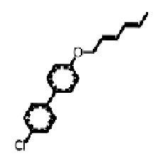 CC=CC=CCOc1ccc(-c2ccc(Cl)cc2)cc1